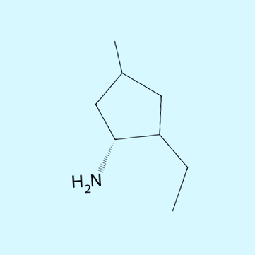 CCC1CC(C)C[C@H]1N